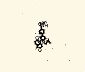 Cn1c(=O)cc(N(CC2CC2)c2ccc(-c3ccc(CNS(C)(=O)=O)cc3)cc2)c2nc(C#N)ccc21